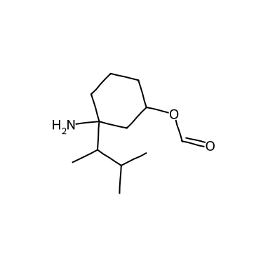 CC(C)C(C)C1(N)CCCC(OC=O)C1